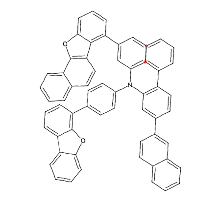 c1ccc(-c2ccc(-c3ccc4ccccc4c3)cc2N(c2ccc(-c3cccc4c3oc3ccccc34)cc2)c2cccc(-c3cccc4oc5c6ccccc6ccc5c34)c2)cc1